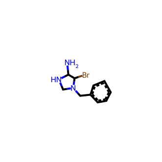 NC1NCN(Cc2ccccc2)C1Br